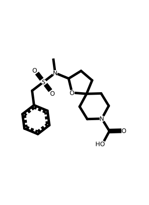 CN(C1CCC2(CCN(C(=O)O)CC2)O1)S(=O)(=O)Cc1ccccc1